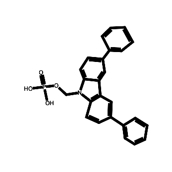 O=P(O)(O)OCn1c2ccc(-c3ccccc3)cc2c2cc(-c3ccccc3)ccc21